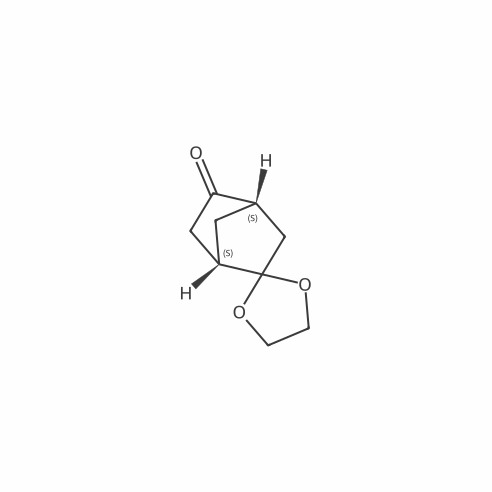 O=C1C[C@@H]2C[C@H]1CC21OCCO1